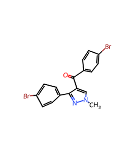 Cn1cc(C(=O)c2ccc(Br)cc2)c(-c2ccc(Br)cc2)n1